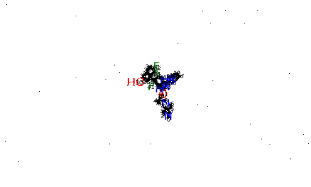 CN1CCC2(CCN(CC3(COc4nc(N5CC6CCC(C5)N6)c5ccc(-c6cc(O)cc7ccc(F)c(F)c67)c(F)c5n4)CC3)C2)C1